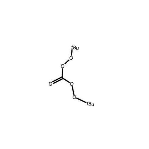 CC(C)(C)OOC(=O)OOC(C)(C)C